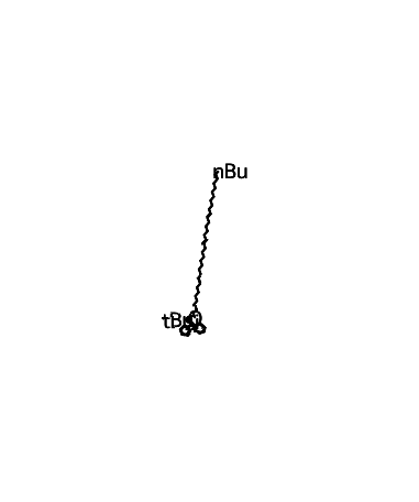 CCCCC=CCCCCCCCC=CCCCCCCCCCCCCCCCCCCCCCCO[Si](c1ccccc1)(c1ccccc1)C(C)(C)C